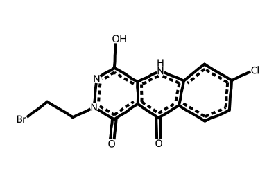 O=c1c2ccc(Cl)cc2[nH]c2c(O)nn(CCBr)c(=O)c12